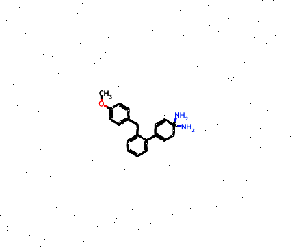 COc1ccc(Cc2ccccc2C2=CCC(N)(N)C=C2)cc1